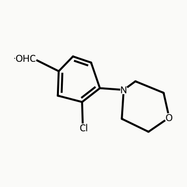 O=[C]c1ccc(N2CCOCC2)c(Cl)c1